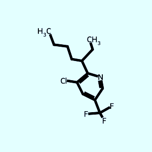 CCCCC(CC)c1ncc(C(F)(F)F)cc1Cl